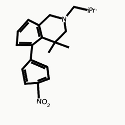 C[C](C)CN1Cc2cccc(-c3ccc([N+](=O)[O-])cc3)c2C(C)(C)C1